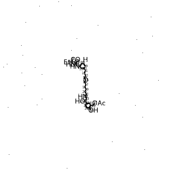 CCC(NC(=O)Nc1cccc(CCCCOCCCCCCNC[C@H](O)c2ccc(O)c(COC(C)=O)c2)c1)C(=O)O